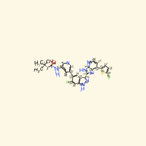 CC(C)(C)CC(=O)Nc1cncc(-c2cc3c(-c4nc5c(-c6ccc(F)s6)ccnc5[nH]4)n[nH]c3cc2F)c1